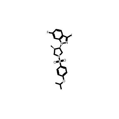 CC(C)Oc1ccc(S(=O)(=O)N2C[C@@H](C)[C@@H](n3nc(I)c4ccc(F)cc43)C2)cc1